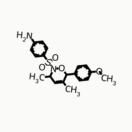 COc1ccc(C2ON(S(=O)(=O)c3ccc(N)cc3)C(C)C=C2C)cc1